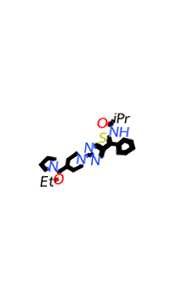 CCOC(C1CCN(c2ncc3c(-c4ccccc4)c(NC(=O)C(C)C)sc3n2)CC1)N1CCCC1